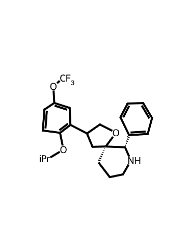 CC(C)Oc1ccc(OC(F)(F)F)cc1C1CO[C@]2(CCCN[C@H]2c2ccccc2)C1